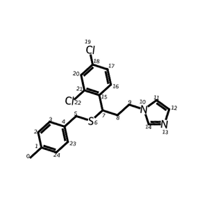 Cc1ccc(CSC(CCn2ccnc2)c2ccc(Cl)cc2Cl)cc1